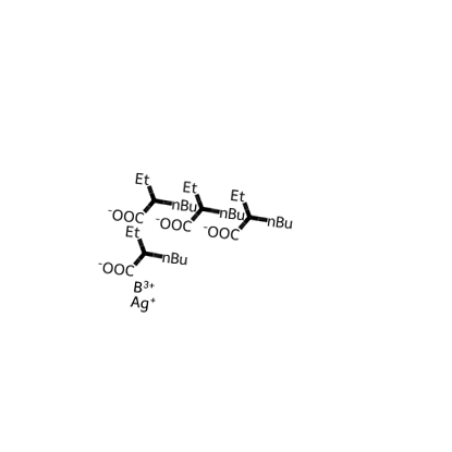 CCCCC(CC)C(=O)[O-].CCCCC(CC)C(=O)[O-].CCCCC(CC)C(=O)[O-].CCCCC(CC)C(=O)[O-].[Ag+].[B+3]